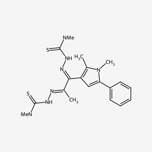 CNC(=S)N/N=C(C)/C(=N/NC(=S)NC)c1cc(-c2ccccc2)n(C)c1C